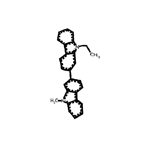 CCn1c2ccccc2c2ccc(-c3ccc4c5ccccc5n(C)c4c3)cc21